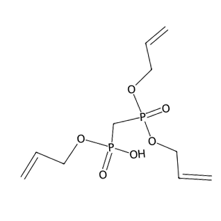 C=CCOP(=O)(O)CP(=O)(OCC=C)OCC=C